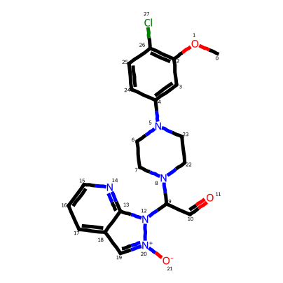 COc1cc(N2CCN(C(C=O)n3c4ncccc4c[n+]3[O-])CC2)ccc1Cl